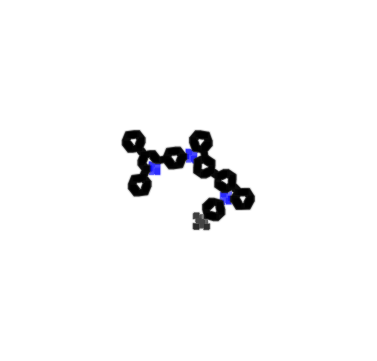 C[Si](C)(C)c1ccc(-n2c3ccccc3c3ccc(-c4ccc5c(c4)c4ccccc4n5-c4ccc(-c5cc(-c6ccccc6)cc(-c6ccccc6)n5)cc4)cc32)cc1